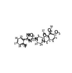 COc1ccc(CN2CCN(c3nc(-c4ccccc4F)no3)CC2)c(OC)c1OC